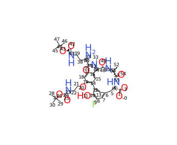 COC(=O)[C@@H]1Cc2cc(F)c(O)c(c2)-c2cc(ccc2OCCNC(=O)OC(C)(C)C)[C@H](N(C)C(=O)[C@@H](N)CCNC(=O)OC(C)(C)C)C(=O)N[C@@H](C)C(=O)N1